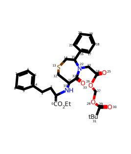 CCOC(=O)C(CCc1ccccc1)NC1CSCC(c2ccccc2)N(CC(=O)OCOC(=O)C(C)(C)C)C1=O